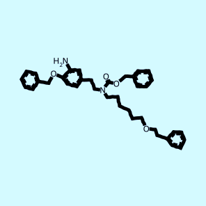 Nc1cc(CCN(CCCCCCOCCc2ccccc2)C(=O)OCc2ccccc2)ccc1OCc1ccccc1